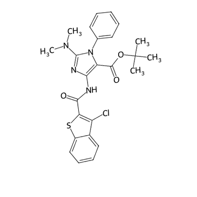 CN(C)c1nc(NC(=O)c2sc3ccccc3c2Cl)c(C(=O)OC(C)(C)C)n1-c1ccccc1